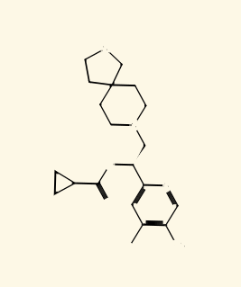 Cc1cc([C@H](CN2CCC3(CCNC3)CC2)OC(=O)C2CC2)ncc1C#N